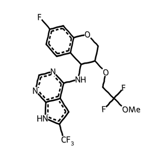 COC(F)(F)COC1COc2cc(F)ccc2C1Nc1ncnc2[nH]c(C(F)(F)F)cc12